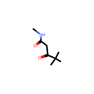 CNC(=O)CC(=O)C(C)(C)C